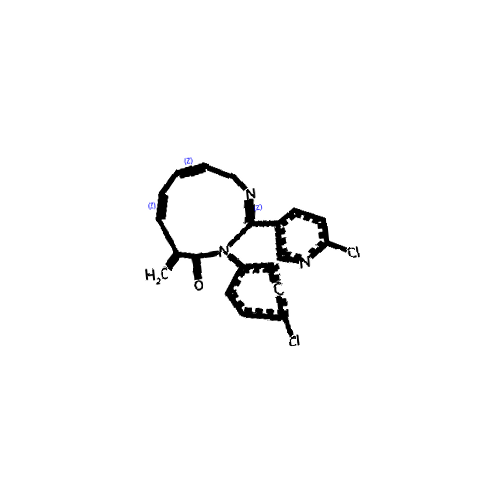 C=C1/C=C\C=C/C/N=C(/c2ccc(Cl)nc2)N(c2ccc(Cl)cc2)C1=O